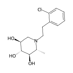 C[C@@H]1[C@@H](O)[C@H](O)[C@@H](O)CN1CCc1ccccc1Cl